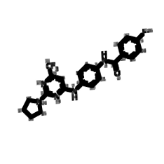 O=C(Nc1ccc(Nc2cc(C(F)(F)F)nc(N3CCCC3)n2)cc1)c1ccc(F)cc1